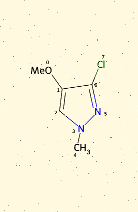 COc1cn(C)nc1Cl